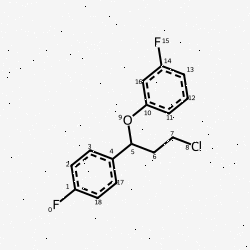 Fc1ccc(C(CCCl)Oc2cccc(F)c2)cc1